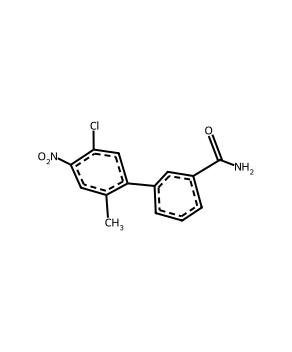 Cc1cc([N+](=O)[O-])c(Cl)cc1-c1cccc(C(N)=O)c1